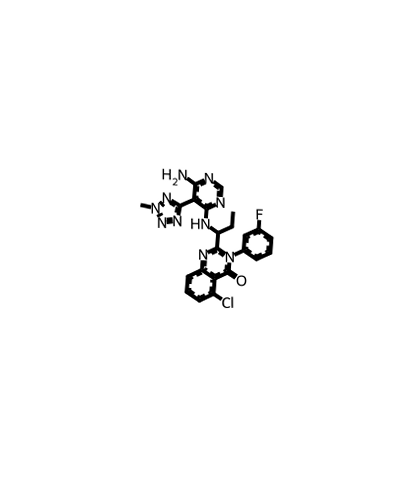 CCC(Nc1ncnc(N)c1-c1nnn(C)n1)c1nc2cccc(Cl)c2c(=O)n1-c1cccc(F)c1